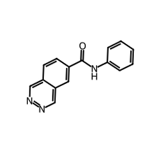 O=C(Nc1ccccc1)c1ccc2cnncc2c1